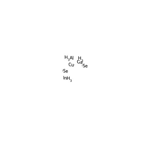 [AlH3].[Cu].[GaH3].[InH3].[Se].[Se]